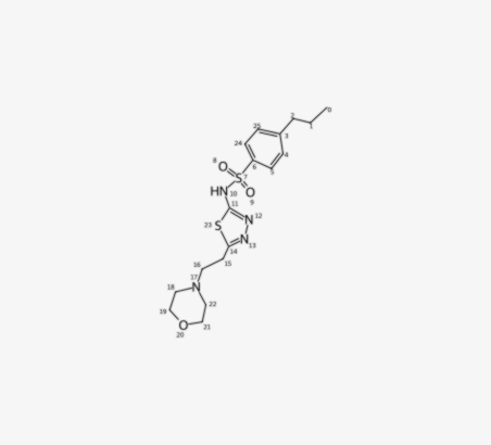 CCCc1ccc(S(=O)(=O)Nc2nnc(CCN3CCOCC3)s2)cc1